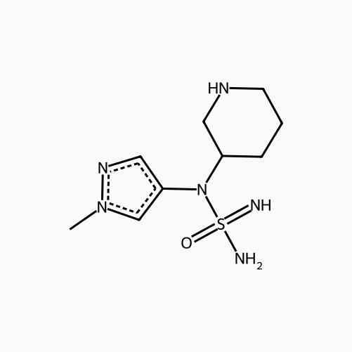 Cn1cc(N(C2CCCNC2)S(=N)(N)=O)cn1